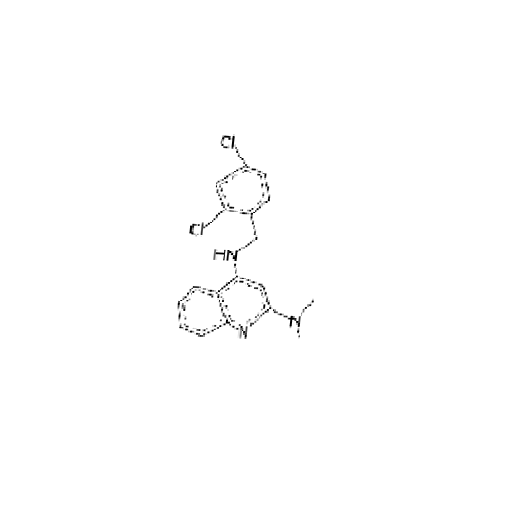 CN(C)c1cc(NCc2ccc(Cl)cc2Cl)c2ccccc2n1